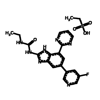 CCNC(=O)Nc1nc2cc(-c3cncc(F)c3)cc(-c3ncccn3)c2[nH]1.CCS(=O)(=O)O